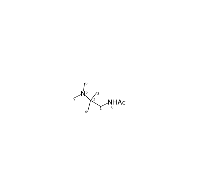 CC(=O)NCC(C)(C)N(C)C